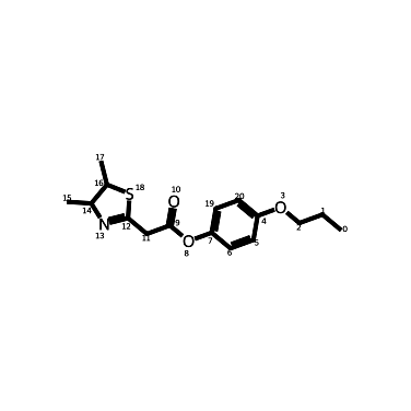 CCCOc1ccc(OC(=O)CC2=NC(C)C(C)S2)cc1